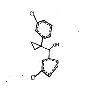 OC(c1cccc(Cl)c1)C1(c2cccc(Cl)c2)CC1